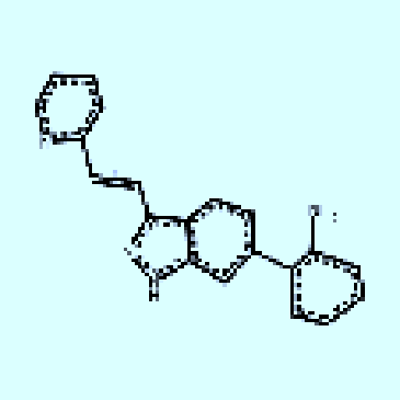 Nc1ccccc1-c1ccc2c(/C=C/c3ccccn3)n[nH]c2c1